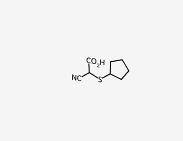 N#CC(SC1CCCC1)C(=O)O